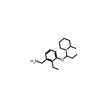 CCc1c(CN)cccc1OC(CC)N1CCCCC1C